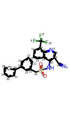 N#Cc1cnc2c(C(F)(F)F)cccc2c1NS(=O)(=O)Cc1cccc(-c2ccccc2)c1